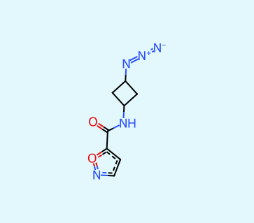 [N-]=[N+]=NC1CC(NC(=O)c2ccno2)C1